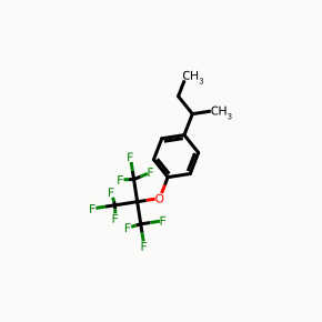 CCC(C)c1ccc(OC(C(F)(F)F)(C(F)(F)F)C(F)(F)F)cc1